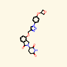 O=C1CCC(N2Cc3c(OCc4cn(-c5ccc(OC6COC6)cc5)nn4)cccc3C2=O)C(=O)N1